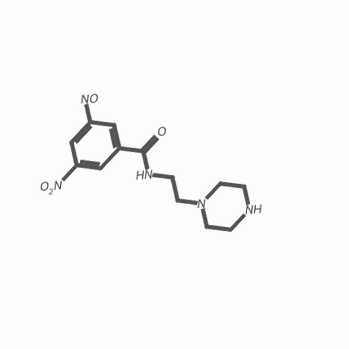 O=Nc1cc(C(=O)NCCN2CCNCC2)cc([N+](=O)[O-])c1